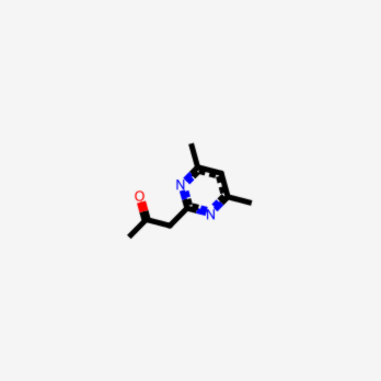 CC(=O)Cc1nc(C)cc(C)n1